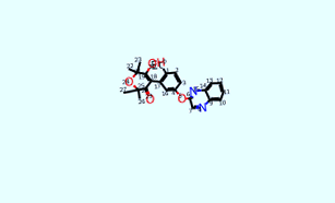 CCc1ccc(Oc2cnc3ccccc3n2)cc1C1=C(O)C(C)(C)OC(C)(C)C1=O